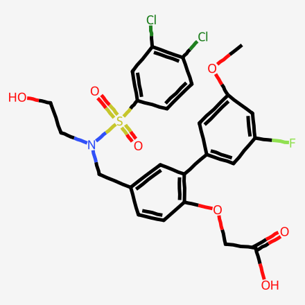 COc1cc(F)cc(-c2cc(CN(CCO)S(=O)(=O)c3ccc(Cl)c(Cl)c3)ccc2OCC(=O)O)c1